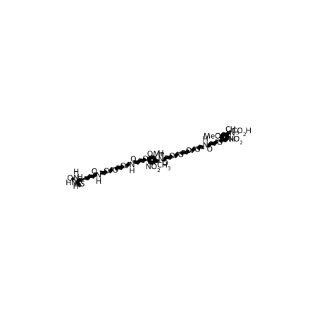 COc1cc(C(C)NC(=O)CCOCCOCCOCCOCCNC(=O)CCCOc2cc([N+](=O)[O-])c(C(C)NC(=O)O)cc2OC)c([N+](=O)[O-])cc1OCCCC(=O)NCCOCCOCCOCCNC(=O)CCCC[C@@H]1SC[C@@H]2NC(=O)N[C@@H]21